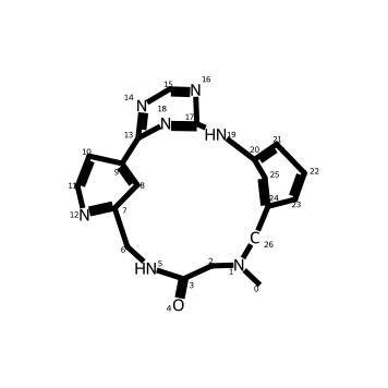 CN1CC(=O)NCc2cc(ccn2)-c2ncnc(n2)Nc2cccc(c2)C1